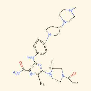 C=CC(=O)N1CCN(c2nc(Nc3ccc(N4CCC(N5CCN(C)CC5)CC4)cc3)c(C(N)=O)nc2CC)[C@H](C)C1